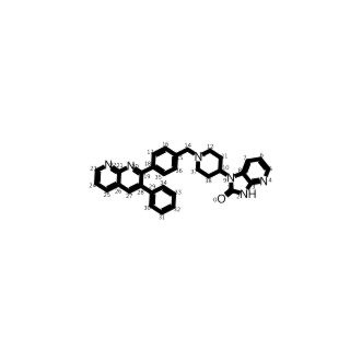 O=c1[nH]c2ncccc2n1C1CCN(Cc2ccc(-c3nc4ncccc4cc3-c3ccccc3)cc2)CC1